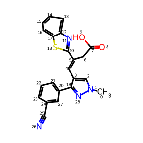 Cn1cc(/C=C(\CC(=O)O)c2nc3ccccc3s2)c(-c2cccc(C#N)c2)n1